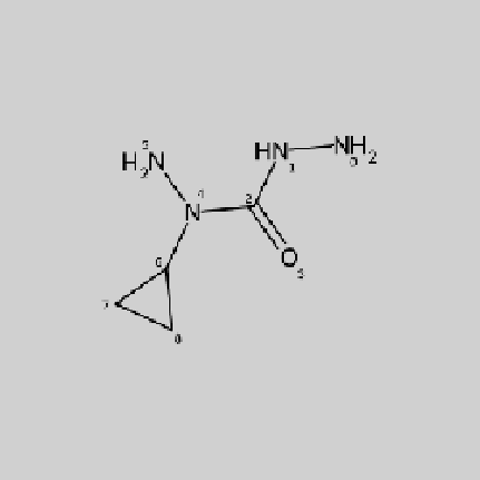 NNC(=O)N(N)C1CC1